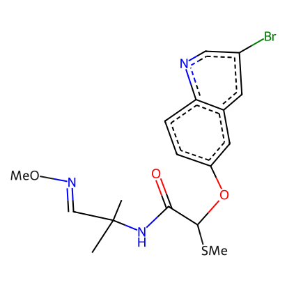 CON=CC(C)(C)NC(=O)C(Oc1ccc2ncc(Br)cc2c1)SC